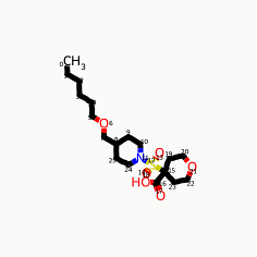 CCCCCCOCC1CCN(S(=O)(=O)C2(C(=O)O)CCOCC2)CC1